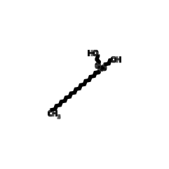 CCCCCCCCCCCCCCCCCCCC=CN(OCCCO)OCCCO